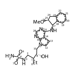 CC[C@@H](CNS(N)(=O)=O)[C@@H](O)Cn1ccc2c(N[C@@H]3c4ccccc4C[C@@H]3OC)ncnc21